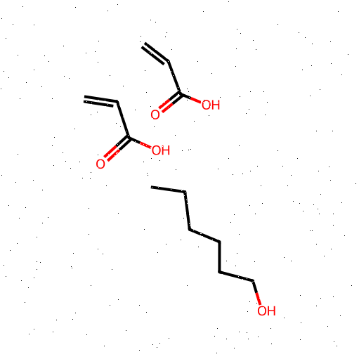 C=CC(=O)O.C=CC(=O)O.CCCCCCO